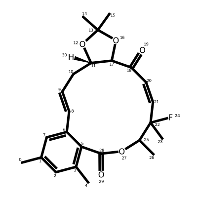 Cc1cc(C)c2c(c1)/C=C/C[C@@H]1OC(C)(C)OC1C(=O)/C=C\C(C)(F)C(C)OC2=O